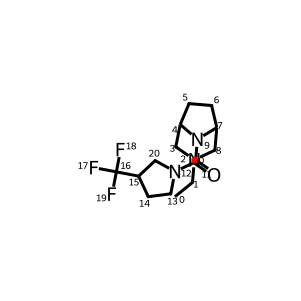 CCN1CC2CCC(C1)N2C(=O)N1CCC(C(F)(F)F)C1